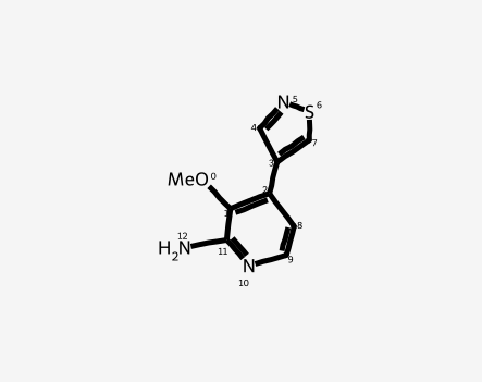 COc1c(-c2cnsc2)ccnc1N